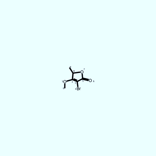 COC1=C(Br)C(=O)OC1C